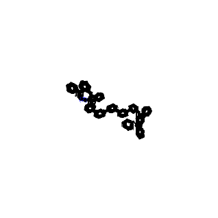 C1=CC(n2c3ccccc3c3cc4c5ccccc5n(-c5cccc(-c6cccc(-c7cccc(-c8cccc(-c9cccc(-n%10c%11c(c%12ccccc%12%10)Cc%10ccccc%10N(c%10ccccc%10)C/C=C\%11)c9)c8)c7)c6)c5)c4cc32)=CCCC1